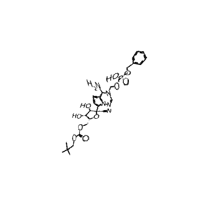 CC(C)(C)COC(=O)OC[C@H]1O[C@@](C#N)(c2ccc3n2N=CN(COP(=O)(O)OCc2ccccc2)C3N)[C@H](O)[C@@H]1O